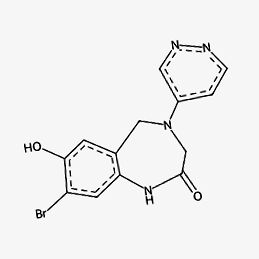 O=C1CN(c2ccnnc2)Cc2cc(O)c(Br)cc2N1